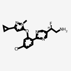 Cn1nc(C2CC2)cc1Oc1cc(Cl)ccc1-c1ncc([C@@H](F)CN)cn1